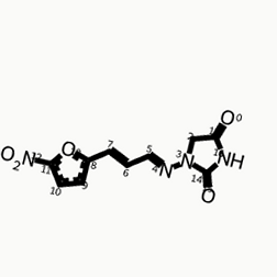 O=C1CN(N=CC=Cc2ccc([N+](=O)[O-])o2)C(=O)N1